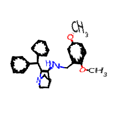 COc1ccc(OC)c(CNC2C3CCN(C3)C2C(c2ccccc2)c2ccccc2)c1